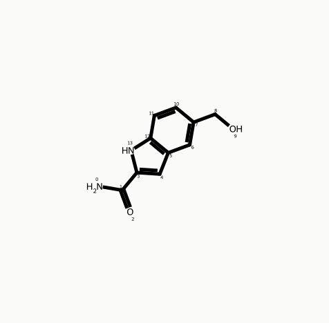 NC(=O)c1cc2cc(CO)ccc2[nH]1